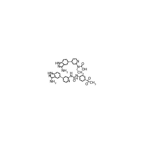 CCN(C(=O)O)c1cc(-c2ccc3[nH]nc(N)c3c2)ccn1.CS(=O)(=O)c1ccc(NC(=O)Nc2cc(-c3ccc4[nH]nc(N)c4c3)ccn2)cc1